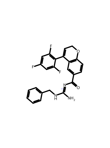 N/C(=N\C(=O)c1ccc2c(c1)C(c1c(F)cc(F)cc1F)=CCO2)NCc1ccccc1